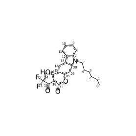 CCCCCCn1c2ccccc2c2cc3c(O)c(C(=O)C(F)(F)F)c(=O)oc3cc21